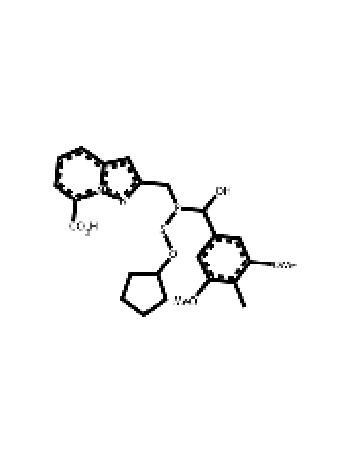 COc1cc(C(O)P(Cc2cc3cccc(C(=O)O)n3n2)SOC2CCCC2)cc(OC)c1C